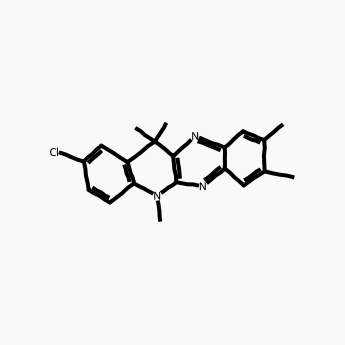 Cc1cc2nc3c(nc2cc1C)C(C)(C)c1cc(Cl)ccc1N3C